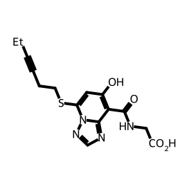 CCC#CCCSc1cc(O)c(C(=O)NCC(=O)O)c2ncnn12